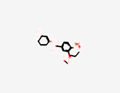 O=C1C=C(OC(=O)c2ccc3c(c2)C2(CCS3(=O)=O)OCCO2)CCC1